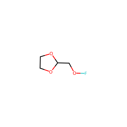 FOCC1OCCO1